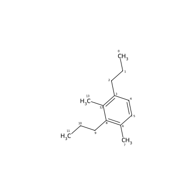 CCCc1c[c]c(C)c(CCC)c1C